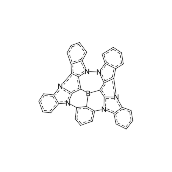 c1cc2c3c(c1)-n1c4ccccc4n4c5c6ccccc6n6c5c(c14)B3c1c3c(c4ccccc4n3-6)n3c4ccccc4n-2c13